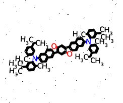 Cc1ccc(C(C)C)cc1N(c1ccc2cc3c(cc2c1)oc1cc2c(cc13)oc1cc3cc(N(c4cc(C(C)C)ccc4C)c4cc(C(C)C)ccc4C)ccc3cc12)c1cc(C(C)C)ccc1C